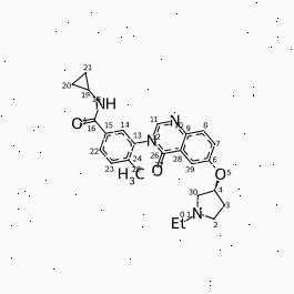 CCN1CC[C@H](Oc2ccc3ncn(-c4cc(C(=O)NC5CC5)ccc4C)c(=O)c3c2)C1